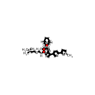 Cn1ccc(-c2ccc(-c3cnn4c(NCOCC[Si](C)(C)C)cc([C@@H]5C[C@H]6CC[C@@H](C5)N6C(=O)OC(C)(C)C)nc34)cn2)n1